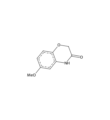 COc1ccc2c(c1)NC(=O)CO2